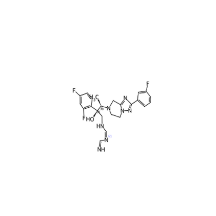 C[C@@H](N1CCn2nc(-c3cccc(F)c3)nc2C1)[C@](O)(CN/C=N\C=N)c1ccc(F)cc1F